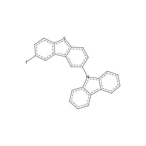 Ic1ccc2sc3ccc(-n4c5ccccc5c5ccccc54)cc3c2c1